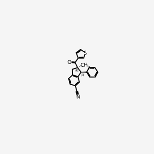 C[C@@]1(C(=O)c2ccsc2)Cc2ccc(C#N)cc2[C@@H]1c1ccccc1